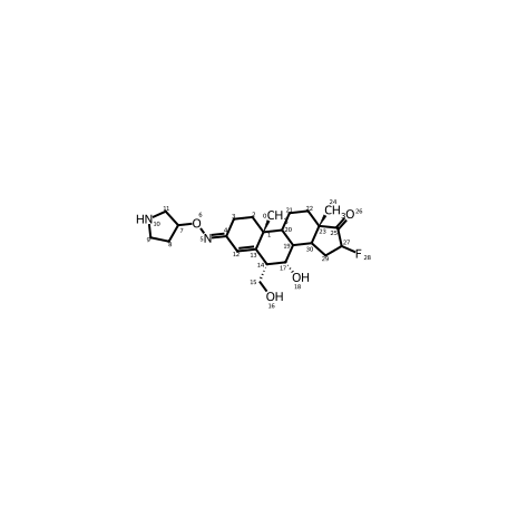 C[C@]12CCC(=NOC3CCNC3)C=C1[C@@H](CO)[C@@H](O)C1C2CC[C@]2(C)C(=O)C(F)CC12